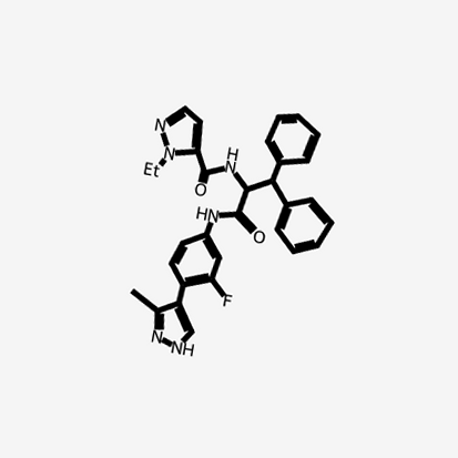 CCn1nccc1C(=O)NC(C(=O)Nc1ccc(-c2c[nH]nc2C)c(F)c1)C(c1ccccc1)c1ccccc1